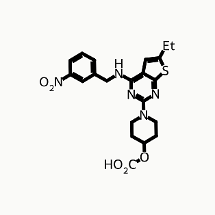 CCc1cc2c(NCc3cccc([N+](=O)[O-])c3)nc(N3CCC(OC(=O)O)CC3)nc2s1